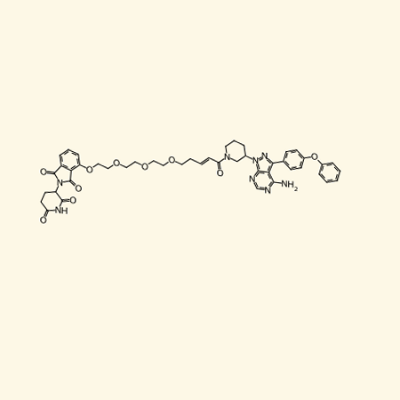 Nc1ncnc2c1c(-c1ccc(Oc3ccccc3)cc1)nn2C1CCCN(C(=O)/C=C/CCOCCOCCOCCOc2cccc3c2C(=O)N(C2CCC(=O)NC2=O)C3=O)C1